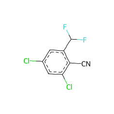 N#Cc1c(Cl)cc(Cl)cc1C(F)F